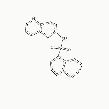 O=S(=O)(Nc1ccc2ncccc2c1)c1cccc2ccccc12